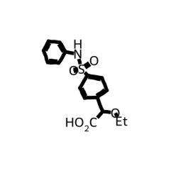 CCOC(C(=O)O)c1ccc(S(=O)(=O)Nc2ccccc2)cc1